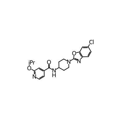 CC(C)Oc1cc(C(=O)NC2CCN(c3nc4ccc(Cl)cc4o3)CC2)ccn1